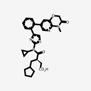 CN1C(=O)COc2cc(-c3ccccc3-c3csc(N(C(=O)[C@@H](CC(=O)O)CC4CCCC4)C4CC4)n3)cnc21